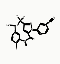 CN(C(=O)c1cc(C(F)(F)F)nn1-c1cccc(C#N)c1)c1cc(CO)ccc1F